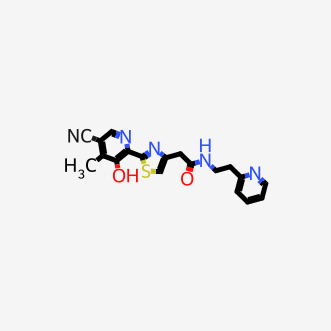 Cc1c(C#N)cnc(-c2nc(CC(=O)NCCc3ccccn3)cs2)c1O